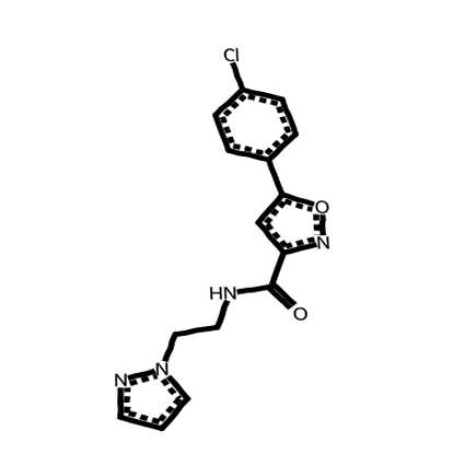 O=C(NCCn1cccn1)c1cc(-c2ccc(Cl)cc2)on1